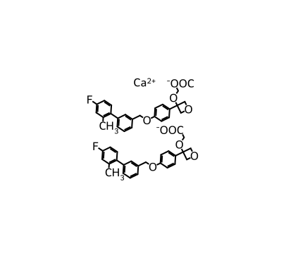 Cc1cc(F)ccc1-c1cccc(COc2ccc(C3(OCC(=O)[O-])COC3)cc2)c1.Cc1cc(F)ccc1-c1cccc(COc2ccc(C3(OCC(=O)[O-])COC3)cc2)c1.[Ca+2]